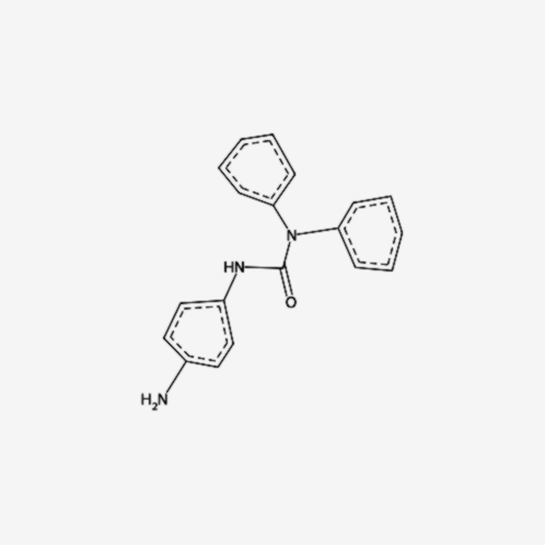 Nc1ccc(NC(=O)N(c2ccccc2)c2ccccc2)cc1